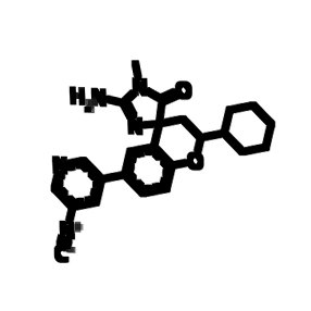 [C-]#[N+]c1cncc(-c2ccc3c(c2)C2(CC(C4CCCCC4)O3)N=C(N)N(C)C2=O)c1